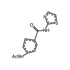 CC(=O)Nc1ccc(C(=O)Nc2nccs2)cc1